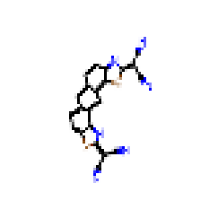 N#CC(C#N)=c1nc2c(ccc3cc4ccc5nc(=C(C#N)C#N)sc5c4cc32)s1